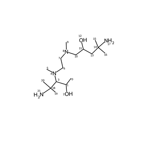 CC(O)C(N(C)CCN(C)CC(O)CC(C)(C)N)C(C)(C)N